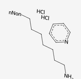 CCCCCCCCCCCCCCCCN.Cl.Cl.c1ccncc1